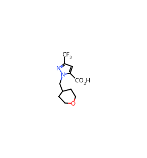 O=C(O)c1cc(C(F)(F)F)nn1CC1CCOCC1